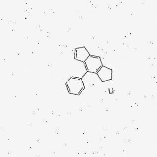 C1=Cc2c(cc3c(c2-c2ccccc2)CCC3)C1.[Li]